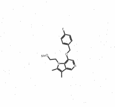 COCCn1c(C)c(C)c2cncc(OCc3ccc(F)cc3)c21